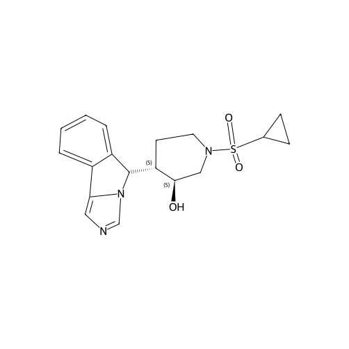 O=S(=O)(C1CC1)N1CC[C@@H](C2c3ccccc3-c3cncn32)[C@H](O)C1